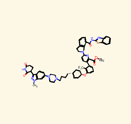 Cn1nc(C2CCC(=O)NC2=O)c2ccc(N3CCN(CCCC[C@H]4CC[C@H](Oc5cccc(-c6ccc(N7CCc8cccc(C(=O)Nc9nc%10ccccc%10s9)c8C7)nc6C(=O)OC(C)(C)C)c5C(F)(F)F)CC4)CC3)cc21